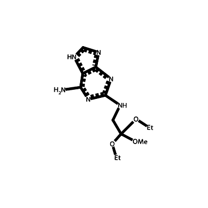 CCOC(CNc1nc(N)c2[nH]cnc2n1)(OC)OCC